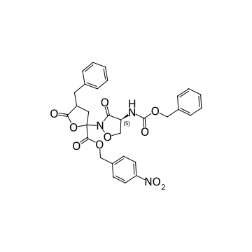 O=C(N[C@H]1CON(C2(C(=O)OCc3ccc([N+](=O)[O-])cc3)CC(Cc3ccccc3)C(=O)O2)C1=O)OCc1ccccc1